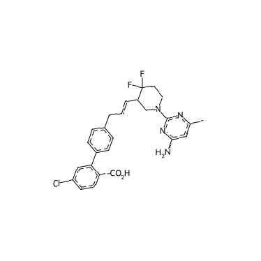 Cc1cc(N)nc(N2CCC(F)(F)C(C=CCc3ccc(-c4cc(Cl)ccc4C(=O)O)cc3)C2)n1